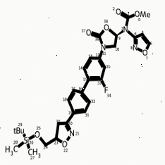 COC(=O)N(c1ccon1)[C@H]1CN(c2ccc(-c3ccc(C4=NOC(CO[Si](C)(C)C(C)(C)C)C4)cc3)c(F)c2)C(=O)O1